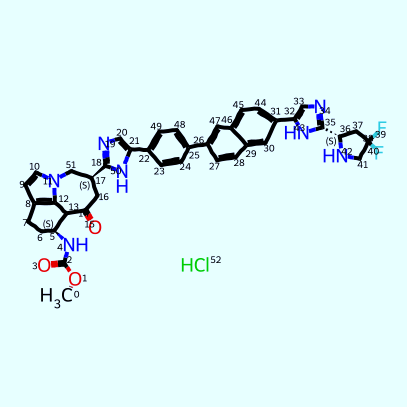 COC(=O)N[C@H]1CCc2ccn3c2C1C(=O)C[C@H](c1ncc(-c2ccc(-c4ccc5cc(-c6cnc([C@@H]7CC(F)(F)CN7)[nH]6)ccc5c4)cc2)[nH]1)C3.Cl